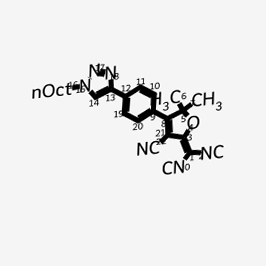 [C-]#[N+]C([N+]#[C-])=C1OC(C)(C)C(c2ccc(-c3cn(CCCCCCCC)nn3)cc2)=C1C#N